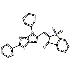 O=C1/C(=C\c2cc3sc(-c4ccccc4)nc3n2-c2ccccc2)S(=O)(=O)c2ccccc21